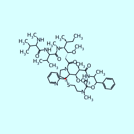 CC[C@H](C)[C@@H]([C@@H](CC(=O)N1CCCC1[C@H](OC)[C@@H](C)C(=O)NC(C)C(OC(=O)N(C)CCSSc1ccccn1)c1ccccc1)OC)N(C)C(=O)C(NC(=O)C(NC)C(C)C)C(C)C